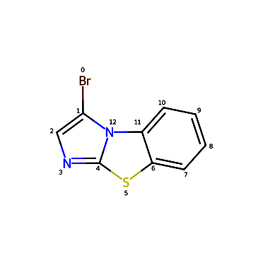 Brc1cnc2sc3ccccc3n12